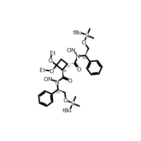 CCOC1(OCC)C[C@H](C(=O)N(N=O)[C@@H](CO[Si](C)(C)C(C)(C)C)c2ccccc2)[C@H]1C(=O)N(N=O)[C@@H](CO[Si](C)(C)C(C)(C)C)c1ccccc1